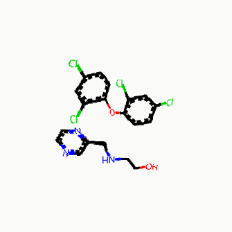 Clc1ccc(Oc2ccc(Cl)cc2Cl)c(Cl)c1.OCCNCc1cnccn1